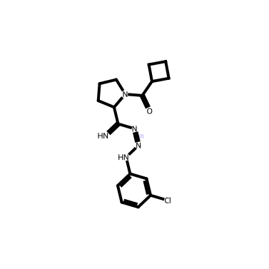 N=C(/N=N\Nc1cccc(Cl)c1)C1CCCN1C(=O)C1CCC1